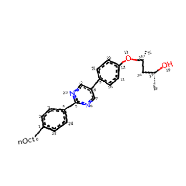 CCCCCCCCc1ccc(-c2ncc(-c3ccc(O[C@H](C)C[C@@H](C)O)cc3)cn2)cc1